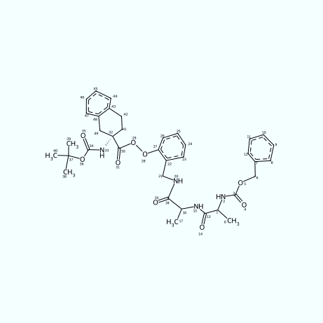 CC(NC(=O)OCc1ccccc1)C(=O)NC(C)C(=O)NCc1ccccc1OOC(=O)[C@]1(NC(=O)OC(C)(C)C)CCc2ccccc2C1